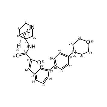 O=C(N[C@@H]1CN2CCC1CC2)c1cc2cccc(-c3ccc(N4CCOCC4)cc3)c2o1